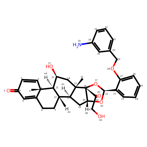 C[C@]12C=CC(=O)C=C1CC[C@@H]1[C@@H]2[C@@H](O)C[C@@]2(C)[C@H]1C[C@H]1O[C@H](c3ccccc3OCc3cccc(N)c3)O[C@]12C(=O)CO